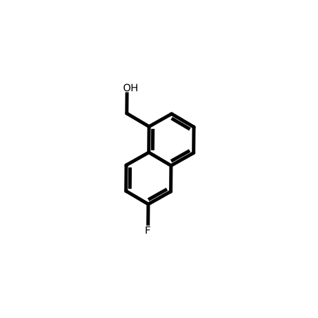 OCc1cccc2cc(F)ccc12